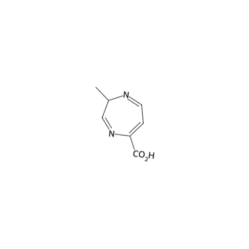 CC1C=NC(C(=O)O)=CC=N1